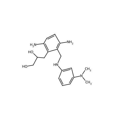 CN(C)c1cccc(NCc2c(N)ccc(N)c2CC(O)CO)c1